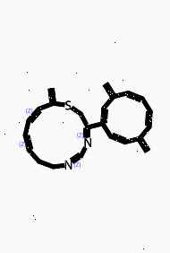 C=C1/C=C\C=C/CC/N=C\N=C(\c2ccc(=C)ccccc(=C)c2)CS1